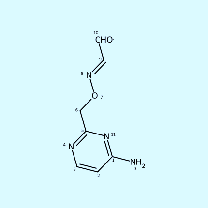 Nc1ccnc(CON=C[C]=O)n1